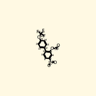 O=NOc1cc([N+](=O)[O-])ccc1-c1ccc(OC(F)(F)F)cc1